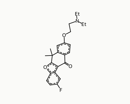 CCN(CC)CCOc1ccc2c(c1)C(C)(C)c1oc3ccc(F)cc3c1C2=O